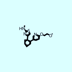 CNc1nc(-c2ccccc2-c2ccc(OCCOC)nc2)cs1